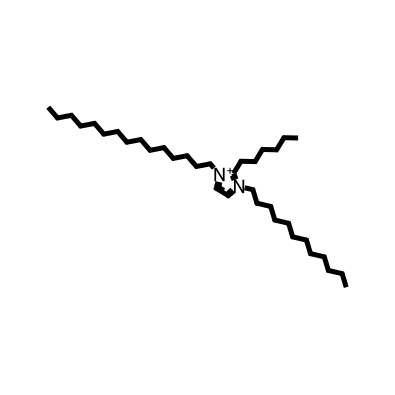 CCCCCCCCCCCCCCC[n+]1ccn(CCCCCCCCCCCC)c1CCCCCC